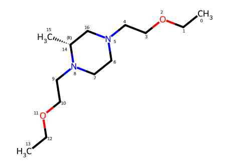 CCOCCN1CCN(CCOCC)[C@H](C)C1